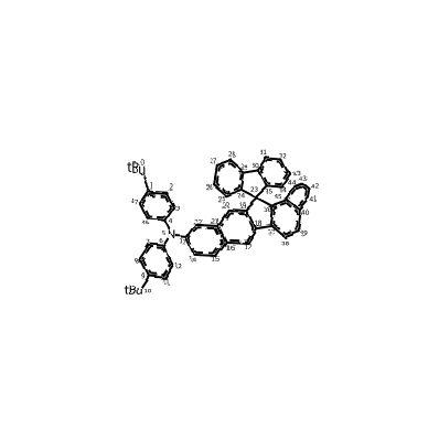 CC(C)(C)c1ccc(N(c2ccc(C(C)(C)C)cc2)c2ccc3cc4c(cc3c2)C2(c3ccccc3-c3ccccc32)c2c-4ccc3ccccc23)cc1